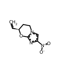 C=C[C@H]1CCn2cc([N+](=O)[O-])nc2O1